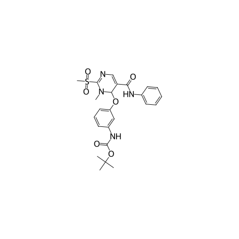 CN1C(S(C)(=O)=O)=NC=C(C(=O)Nc2ccccc2)C1Oc1cccc(NC(=O)OC(C)(C)C)c1